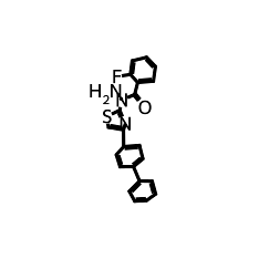 NN(C(=O)c1ccccc1F)c1nc(-c2ccc(-c3ccccc3)cc2)cs1